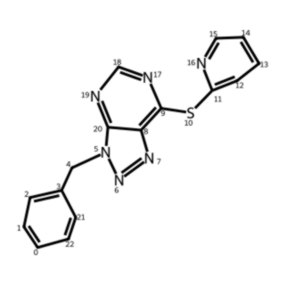 c1ccc(Cn2nnc3c(Sc4ccccn4)ncnc32)cc1